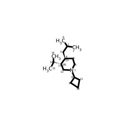 CC(C)C[C@H]1CCN(C2CCC2)C[C@@H]1C(C)C